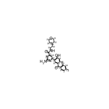 Cc1ccc(C(=O)c2ccc(O)c(-c3cc(C(=O)NCCN4CCOCC4)nc(N)n3)c2)c(F)c1